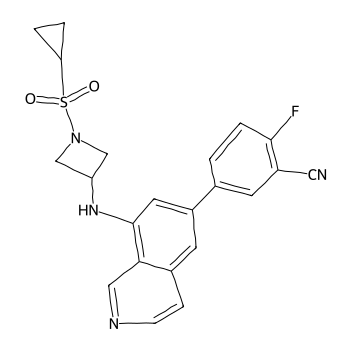 N#Cc1cc(-c2cc(NC3CN(S(=O)(=O)C4CC4)C3)c3cnccc3c2)ccc1F